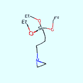 CCO[Si](CCN1CC1)(OCC)OCC